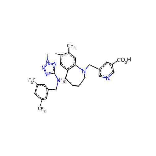 Cc1cc2c(cc1C(F)(F)F)N(Cc1cncc(C(=O)O)c1)CCC[C@@H]2N(Cc1cc(C(F)(F)F)cc(C(F)(F)F)c1)c1nnn(C)n1